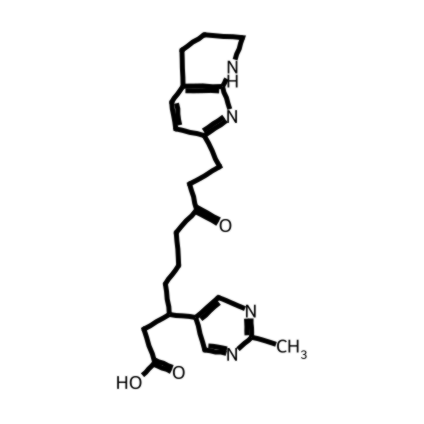 Cc1ncc(C(CCCC(=O)CCc2ccc3c(n2)NCCC3)CC(=O)O)cn1